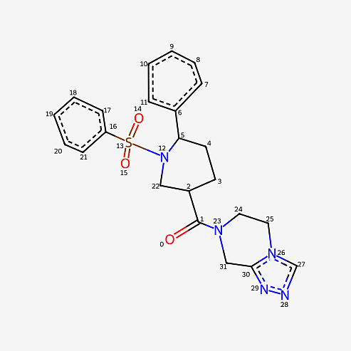 O=C(C1CCC(c2ccccc2)N(S(=O)(=O)c2ccccc2)C1)N1CCn2cnnc2C1